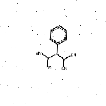 CCCC(CCC)C(c1ccccc1)C(C#N)C#N